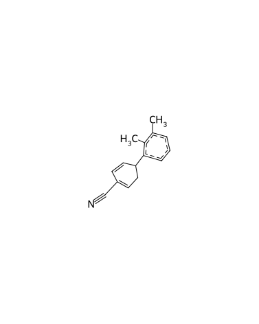 Cc1cccc(C2C=CC(C#N)=CC2)c1C